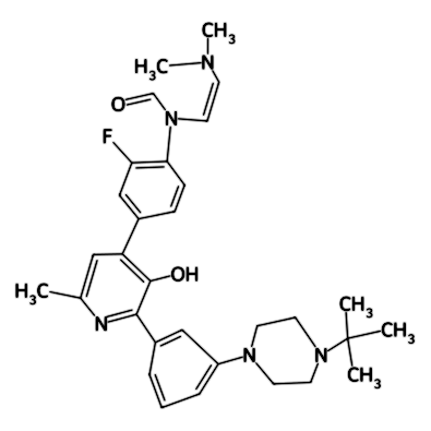 Cc1cc(-c2ccc(N(C=O)/C=C\N(C)C)c(F)c2)c(O)c(-c2cccc(N3CCN(C(C)(C)C)CC3)c2)n1